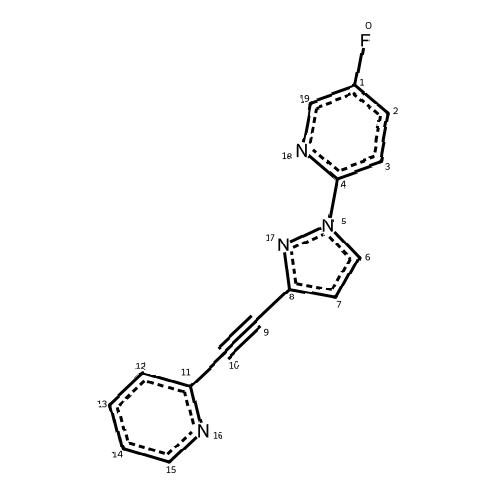 Fc1ccc(-n2ccc(C#Cc3ccccn3)n2)nc1